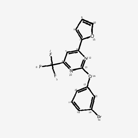 FC(F)(F)c1cc(-c2ccco2)nc(Oc2cccc(Br)c2)n1